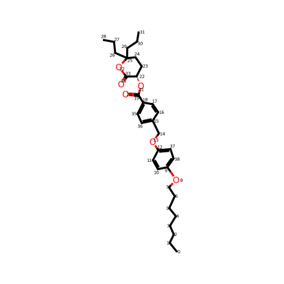 CCCCCCCCOc1ccc(OCc2ccc(C(=O)O[C@H]3CCC(CCC)(CCC)OC3=O)cc2)cc1